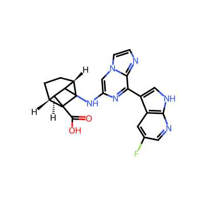 O=C(O)[C@@H]1C(Nc2cn3ccnc3c(-c3c[nH]c4ncc(F)cc34)n2)[C@H]2CC[C@@H]1CC2